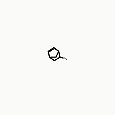 [2H]C1CC2C=CC1C2